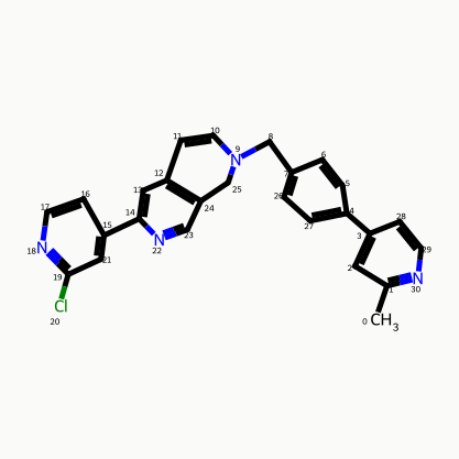 Cc1cc(-c2ccc(CN3C=Cc4cc(-c5ccnc(Cl)c5)ncc4C3)cc2)ccn1